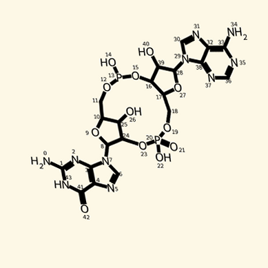 Nc1nc2c(ncn2C2OC3COP(O)OC4C(COP(=O)(O)OC2C3O)OC(n2cnc3c(N)ncnc32)C4O)c(=O)[nH]1